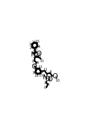 CCCON=C(CC(=O)OC)Cc1cccc(OCCc2nc(-c3ccccc3)oc2C)c1